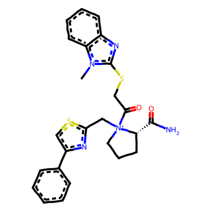 Cn1c(SCC(=O)[N+]2(Cc3nc(-c4ccccc4)cs3)CCC[C@H]2C(N)=O)nc2ccccc21